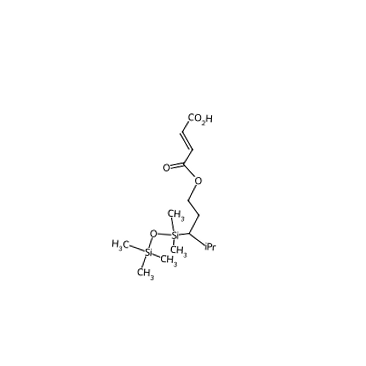 CC(C)C(CCOC(=O)C=CC(=O)O)[Si](C)(C)O[Si](C)(C)C